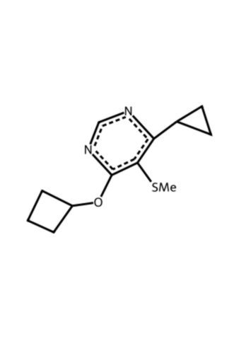 CSc1c(OC2CCC2)ncnc1C1CC1